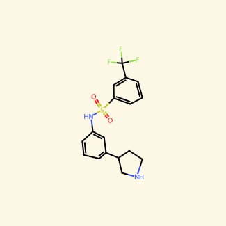 O=S(=O)(Nc1cccc(C2CCNC2)c1)c1cccc(C(F)(F)F)c1